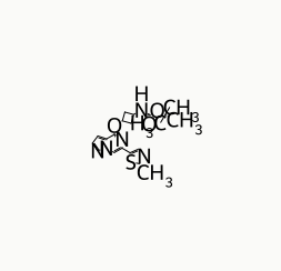 Cc1ncc(-c2cn3nccc3c(OC3CC(NC(=O)OC(C)(C)C)C3)n2)s1